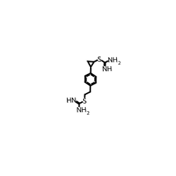 N=C(N)SCCc1ccc(C2CC2SC(=N)N)cc1